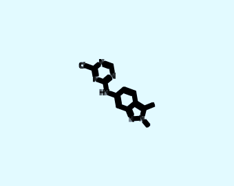 Cc1c2ccc(Nc3ncnc(Cl)n3)cc2nn1C